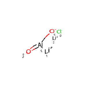 [Cl-].[Li+].[Li+].[O]=[Al][O-]